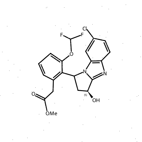 COC(=O)Cc1cccc(OC(F)F)c1C1C[C@H](O)c2nc3ccc(Cl)cc3n21